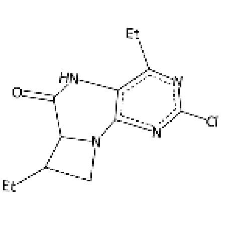 CCc1nc(Cl)nc2c1NC(=O)C1C(CC)CN21